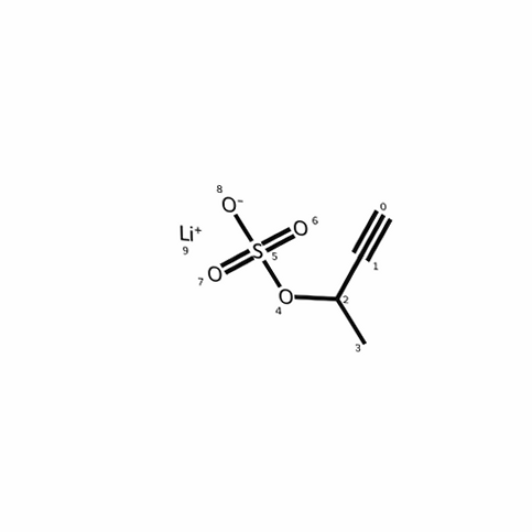 C#CC(C)OS(=O)(=O)[O-].[Li+]